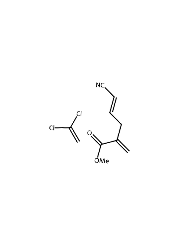 C=C(CC=CC#N)C(=O)OC.C=C(Cl)Cl